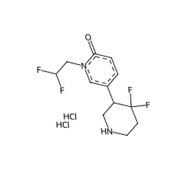 Cl.Cl.O=c1ccc(C2CNCCC2(F)F)cn1CC(F)F